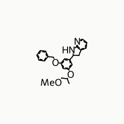 COCC(C)Oc1cc(OCc2ccccc2)cc(C2Cc3cccnc3N2)c1